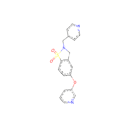 O=S1(=O)c2ccc(Oc3cccnc3)cc2CN1Cc1ccncc1